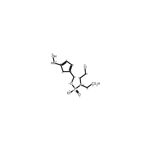 CC[P@@](=O)(OCC1=CC=C(NO)C1)N(CCCl)CC(=O)O